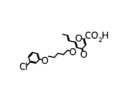 CC=Cc1oc(C(=O)O)cc(=O)c1OCCCCCOc1cccc(Cl)c1